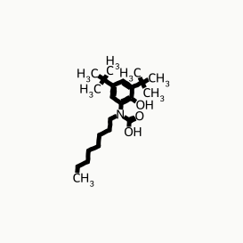 CCCCCCCCN(C(=O)O)c1cc(C(C)(C)C)cc(C(C)(C)C)c1O